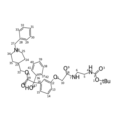 CC(C)(C)OC(=O)NCCNC(=O)COc1cccc(C(O)(C(=O)OCC2CCN(Cc3ccccc3)CC2)c2ccccc2)c1